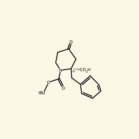 CC(C)(C)OC(=O)N1CCC(=O)C[C@]1(Cc1ccccc1)C(=O)O